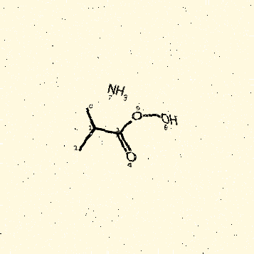 CC(C)C(=O)OO.N